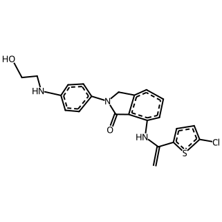 C=C(Nc1cccc2c1C(=O)N(c1ccc(NCCO)cc1)C2)c1ccc(Cl)s1